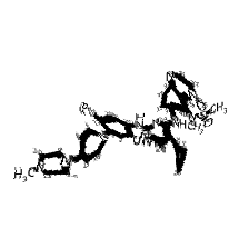 COc1cc(N2CCC(N3CCN(C)CC3)CC2)c(C(C)C)cc1Nc1ncc(C2CC2)c(Nc2ccc3nccnc3c2N(C)S(C)(=O)=O)n1